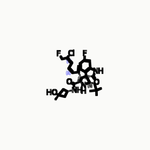 C=C(/C=C\C=C(\Cl)CF)[C@H]1[C@H](C(=O)N[C@H]2C[C@@](C)(O)C2)N[C@@H](CC(C)(C)C)[C@@]12C(=O)Nc1cc(F)ccc12